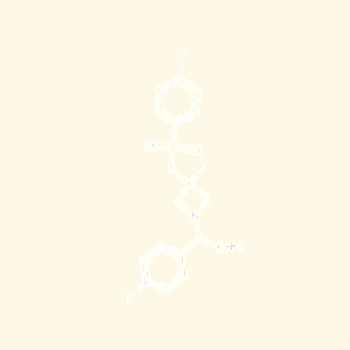 O=CC(c1ccc(F)cc1)N1CC(F)(CS(=O)(=O)c2ccc(F)cc2)C1